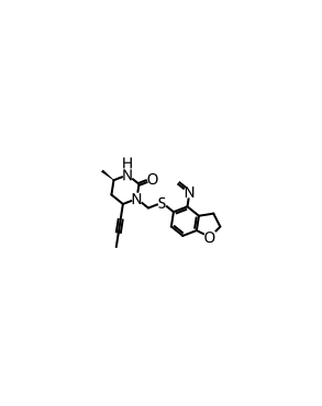 C=Nc1c(SCN2C(=O)N[C@H](C)CC2C#CC)ccc2c1CCO2